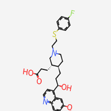 COc1ccc2nccc([C@H](O)CC[C@@H]3CCN(CCSc4ccc(F)cc4)C[C@H]3CCC(=O)O)c2c1